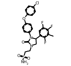 Cc1c(F)c(F)cc(C2CN(CCS(N)(=O)=O)C(=O)N2c2ccc(Oc3ccc(Cl)cc3)cc2)c1F